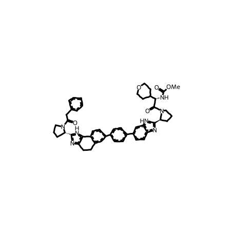 COC(=O)N[C@H](C(=O)N1CCC[C@H]1c1nc2ccc(-c3ccc(-c4ccc5c(c4)CCc4nc([C@@H]6CCCN6C(=O)Cc6ccccc6)[nH]c4-5)cc3)cc2[nH]1)C1CCOCC1